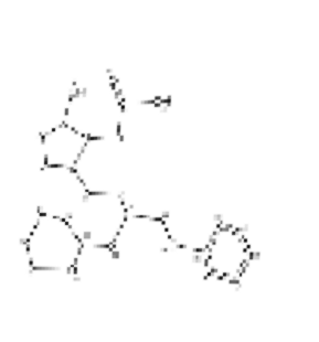 O=C(O)CC1C(O)CCC1CCC(COc1ccccc1)OC1CCCCO1